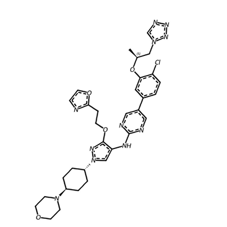 C[C@@H](Cn1cnnn1)Oc1cc(-c2cnc(Nc3cn([C@H]4CC[C@H](N5CCOCC5)CC4)nc3OCCc3ncco3)nc2)ccc1Cl